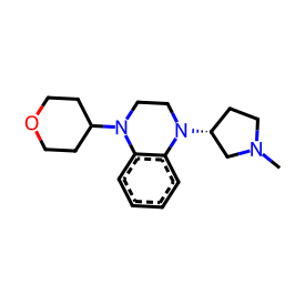 CN1CC[C@@H](N2CCN(C3CCOCC3)c3ccccc32)C1